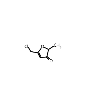 CC1OC(CCl)=CC1=O